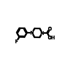 O=C(O)N1CCN(c2cccc(F)c2)CC1